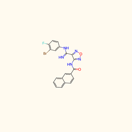 N=C(Nc1ccc(F)c(Br)c1)c1nonc1NC(=O)c1ccc2ccccc2c1